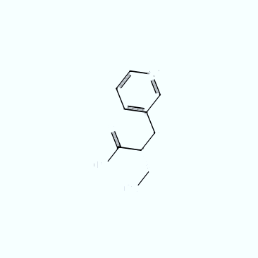 CC(C)(C)C[C@@H](Cc1cccnc1)C(=O)C(C)(C)C